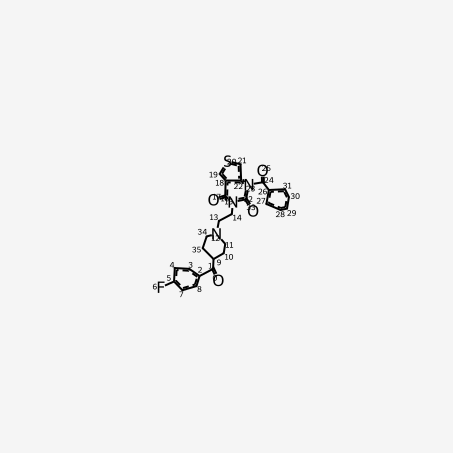 O=C(c1ccc(F)cc1)C1CCN(CCn2c(=O)c3cscc3n(C(=O)c3ccccc3)c2=O)CC1